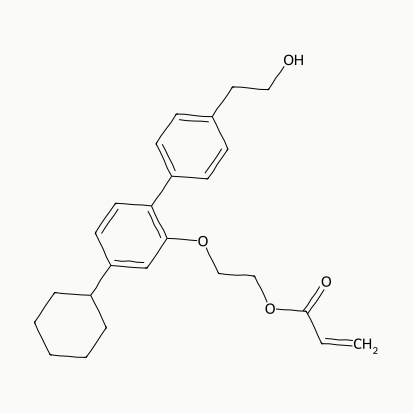 C=CC(=O)OCCOc1cc(C2CCCCC2)ccc1-c1ccc(CCO)cc1